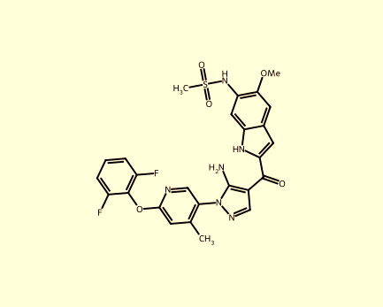 COc1cc2cc(C(=O)c3cnn(-c4cnc(Oc5c(F)cccc5F)cc4C)c3N)[nH]c2cc1NS(C)(=O)=O